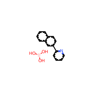 OB(O)O.c1ccc(-c2ccc3ccccc3c2)nc1